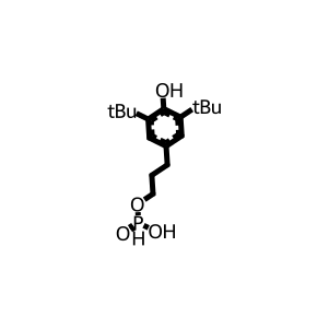 CC(C)(C)c1cc(CCCO[PH](=O)O)cc(C(C)(C)C)c1O